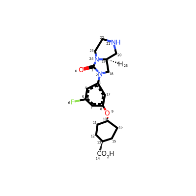 O=C1N(c2cc(F)cc(O[C@H]3CC[C@H](C(=O)O)CC3)c2)C[C@@H]2CNCCN12